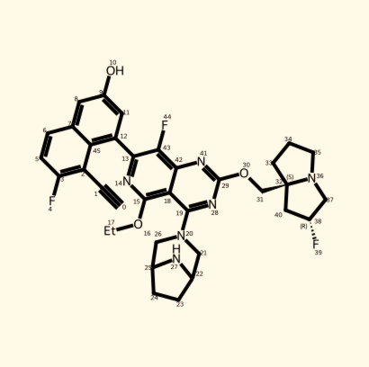 C#Cc1c(F)ccc2cc(O)cc(-c3nc(OCC)c4c(N5CC6CCC(C5)N6)nc(OC[C@@]56CCCN5C[C@H](F)C6)nc4c3F)c12